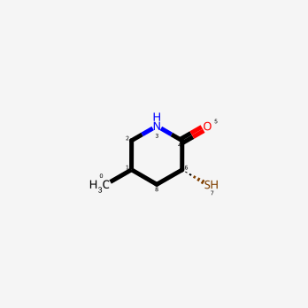 CC1CNC(=O)[C@H](S)C1